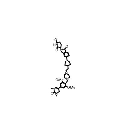 COc1cc(C2=CN(C)C(=O)N(C)C2)cc(OC)c1CN1CCN(CCC2CCN(c3ccc4c(c3)CN(C3CCC(=O)NC3=O)C4=O)CC2)CC1